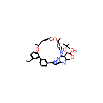 CCc1ccc2c(c1)-c1cccc(c1)-c1cc3nc(C)c([C@H](OC(C)(C)C)C(=O)OC)c(n3n1)N1CCC(C)(CC1)OCC=CCC(C)O2